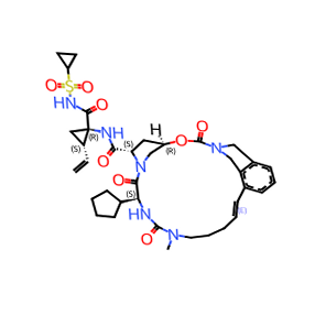 C=C[C@@H]1C[C@]1(NC(=O)[C@@H]1C[C@@H]2CN1C(=O)[C@H](C1CCCC1)NC(=O)N(C)CCC/C=C/c1cccc3c1CN(C3)C(=O)O2)C(=O)NS(=O)(=O)C1CC1